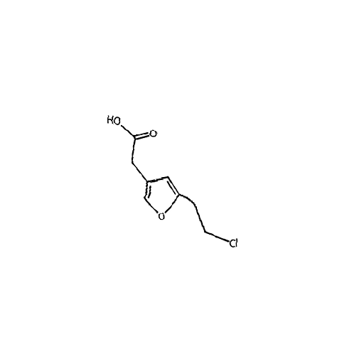 O=C(O)Cc1coc(CCCl)c1